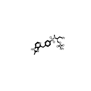 CCCS(=O)(=O)OC[C@H](CC(C)C)N(C)S(=O)(=O)c1ccc(Cc2nccc3[nH]c(C)nc23)cc1